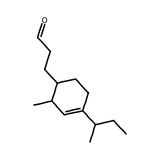 CCC(C)C1=CC(C)C(CCC=O)CC1